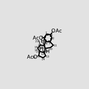 CC(=O)Oc1cc2c(c(OC(C)=O)c1)[C@@H]1[C@H](CC2)[C@@H]2CC[C@H](OC(C)=O)[C@@]2(C)C[C@H]1C